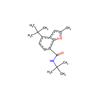 Cc1cc2c(C(C)(C)C)ccc(C(=O)NC(C)(C)C)c2o1